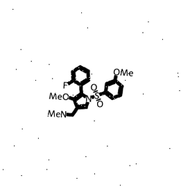 CNCc1cn(S(=O)(=O)c2cccc(OC)c2)c(-c2ccccc2F)c1OC